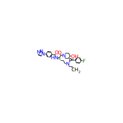 C=CCN(CCC[C@H](NC(=O)c1ccc(-n2ccnn2)cc1)C(=O)N1CCC(O)CC1)C1C[C@H]1c1ccc(F)cc1